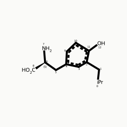 CC(C)Cc1cc(C[C@H](N)C(=O)O)ccc1O